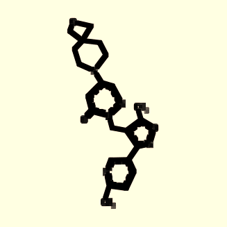 Cc1ccc(-c2noc(C)c2Cn2ncc(N3CCC4(CC3)COC4)cc2=O)cn1